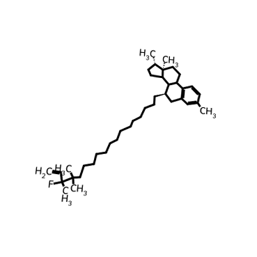 C=CC(C)(F)C(C)(C)CCCCCCCCCCCCCC[C@@H]1Cc2cc(C)ccc2C2CC[C@@]3(C)C(CC[C@@H]3C)C21